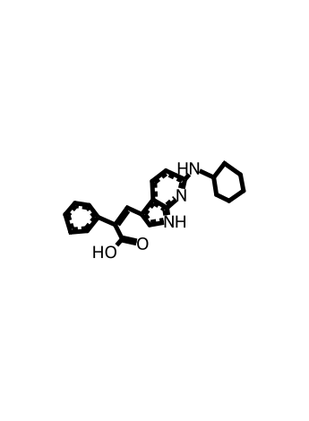 O=C(O)C(=Cc1c[nH]c2nc(NC3CCCCC3)ccc12)c1ccccc1